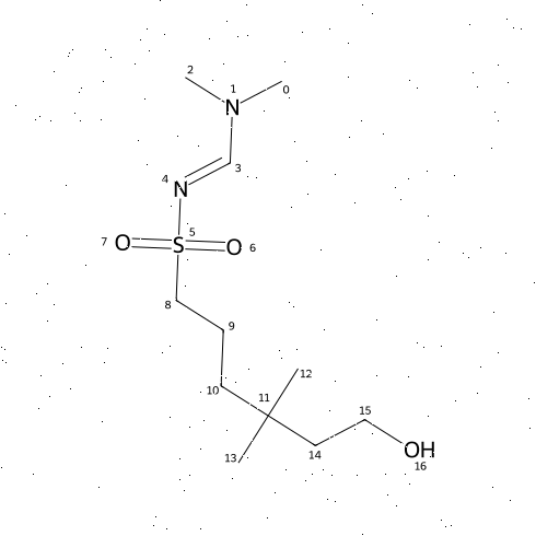 CN(C)C=NS(=O)(=O)CCCC(C)(C)CCO